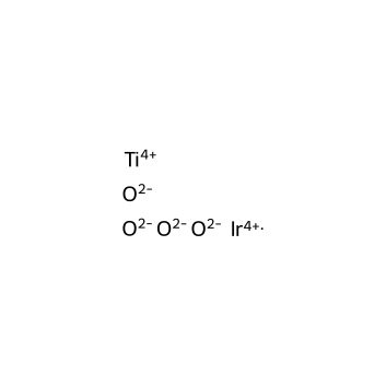 [Ir+4].[O-2].[O-2].[O-2].[O-2].[Ti+4]